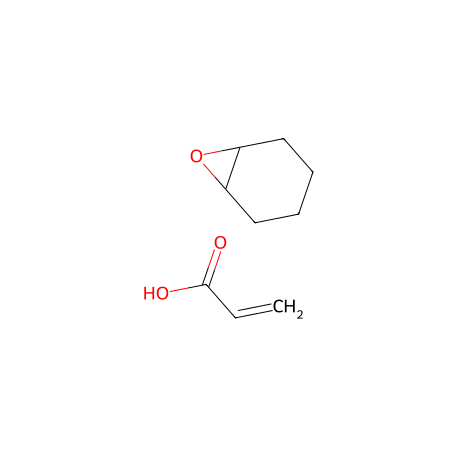 C1CCC2OC2C1.C=CC(=O)O